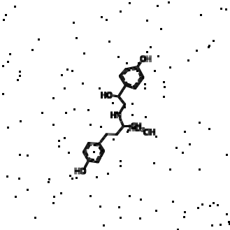 CC(CCc1ccc(O)cc1)NCC(O)c1ccc(O)cc1.Cl.Cl